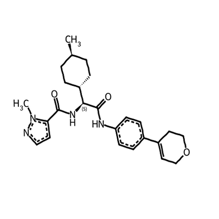 Cn1nccc1C(=O)N[C@H](C(=O)Nc1ccc(C2=CCOCC2)cc1)[C@H]1CC[C@H](C)CC1